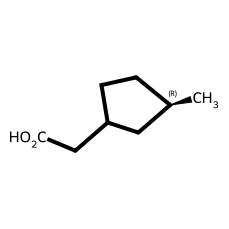 C[C@@H]1CCC(CC(=O)O)C1